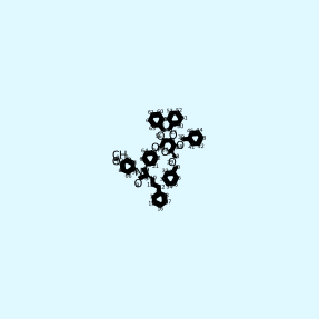 COc1ccc(N2C(=O)[C@H](CCCc3ccccc3)[C@H]2c2ccc(O[C@H]3O[C@H](COCc4ccccc4)[C@@H](OCc4ccccc4)[C@H](OCc4ccccc4)[C@H]3OCc3ccccc3)cc2)cc1